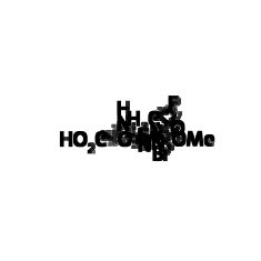 COC(=O)C1=C(CBr)NC(c2ncc(C3CNC[C@@H](/C=C/C(=O)O)O3)s2)=N[C@H]1c1ccc(F)cc1C